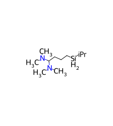 CC(C)[SiH2]CCCC(N(C)C)N(C)C